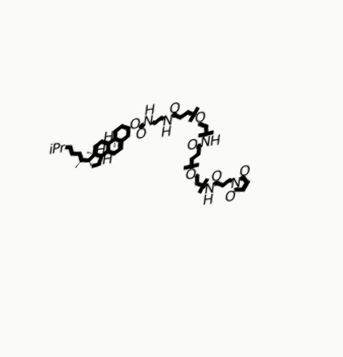 CC(C)CCC[C@@H](C)[C@H]1CC[C@H]2[C@@H]3CC=C4C[C@@H](OC(=O)NCCNC(=O)CCC(C)(C)OCCC(C)(C)NC(=O)CCC(C)(C)OCCC(C)(C)NC(=O)CCN5C(=O)C=CC5=O)CC[C@]4(C)[C@H]3CC[C@]12C